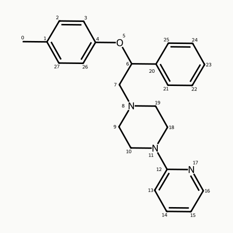 Cc1ccc(OC(CN2CCN(c3ccccn3)CC2)c2ccccc2)cc1